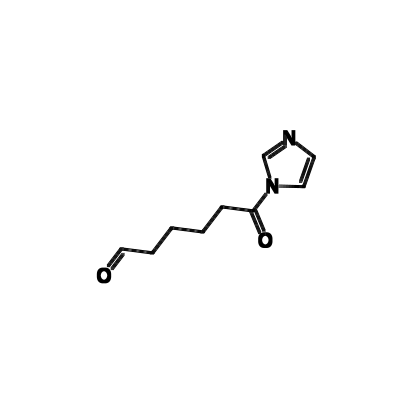 O=CCCCCC(=O)n1ccnc1